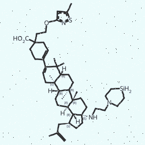 C=C(C)C[C@@H]1CC[C@]2(NCCN3CC[SiH2]CC3)CC[C@]3(C)[C@H](CC[C@@H]4[C@@]5(C)CC=C(C6=CCC(CCOc7cc(C)sn7)(C(=O)O)CC6)C(C)(C)[C@@H]5CC[C@]43C)[C@@H]12